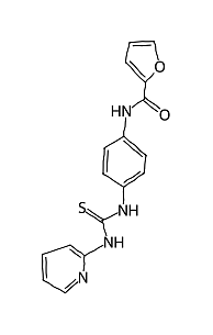 O=C(Nc1ccc(NC(=S)Nc2ccccn2)cc1)c1ccco1